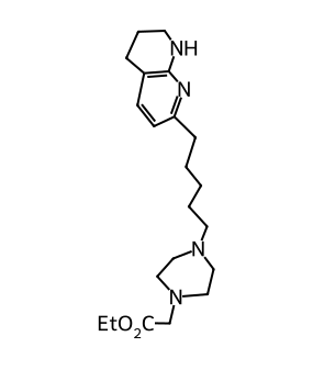 CCOC(=O)CN1CCN(CCCCCc2ccc3c(n2)NCCC3)CC1